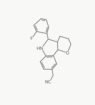 N#CCc1ccc2c(c1)C1OCCCC1C(c1ccccc1F)N2